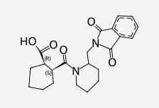 O=C(O)[C@@H]1CCCC[C@@H]1C(=O)N1CCCCC1CN1C(=O)c2ccccc2C1=O